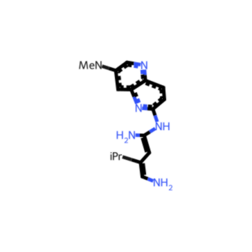 CNc1cnc2ccc(N/C(N)=C/C(=C\N)C(C)C)nc2c1